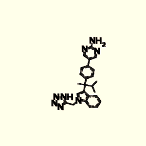 CC(C)C(C)(c1ccc(-c2cnc(N)nc2)cc1)c1cn(Cc2nnn[nH]2)c2ccccc12